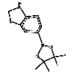 CC1(C)OB(c2ccc3c(c2)SCN3)OC1(C)C